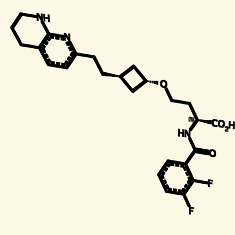 O=C(N[C@@H](CCO[C@H]1C[C@H](CCc2ccc3c(n2)NCCC3)C1)C(=O)O)c1cccc(F)c1F